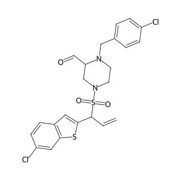 C=CC(c1cc2ccc(Cl)cc2s1)S(=O)(=O)N1CCN(Cc2ccc(Cl)cc2)C(C=O)C1